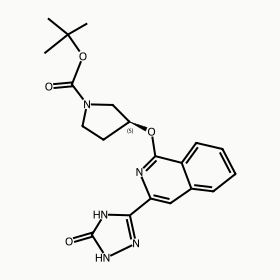 CC(C)(C)OC(=O)N1CC[C@H](Oc2nc(-c3n[nH]c(=O)[nH]3)cc3ccccc23)C1